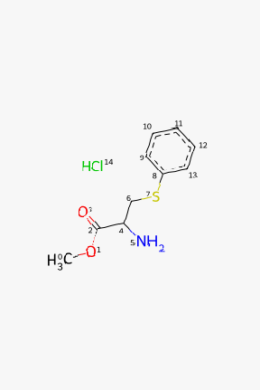 COC(=O)C(N)CSc1ccccc1.Cl